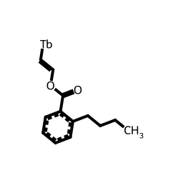 CCCCc1ccccc1C(=O)OC=[CH][Tb]